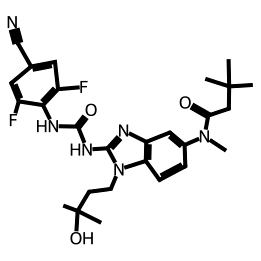 CN(C(=O)CC(C)(C)C)c1ccc2c(c1)nc(NC(=O)Nc1c(F)cc(C#N)cc1F)n2CCC(C)(C)O